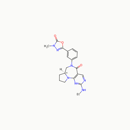 CCNc1ncc2c(n1)N1CCC[C@H]1CN(c1cccc(-c3nn(C)c(=O)o3)c1)C2=O